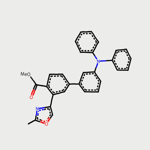 COC(=O)c1ccc(-c2cccc(N(c3ccccc3)c3ccccc3)c2)cc1-c1coc(C)n1